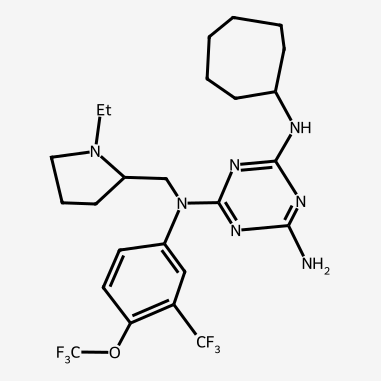 CCN1CCCC1CN(c1ccc(OC(F)(F)F)c(C(F)(F)F)c1)c1nc(N)nc(NC2CCCCCC2)n1